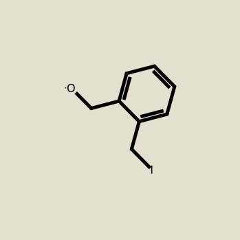 [O]Cc1ccccc1CI